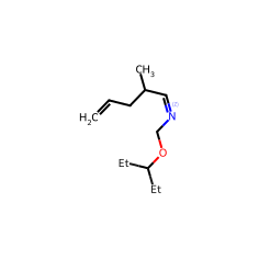 C=CCC(C)/C=N\COC(CC)CC